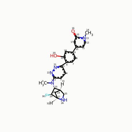 CN(c1ccc(-c2ccc(-c3ccn(C)c(=O)c3)cc2O)nn1)[C@@H]1[C@H]2CN[C@H](C2)[C@H]1F